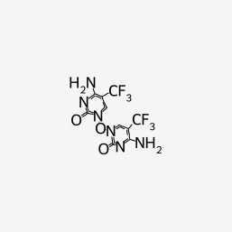 Nc1nc(=O)n(On2cc(C(F)(F)F)c(N)nc2=O)cc1C(F)(F)F